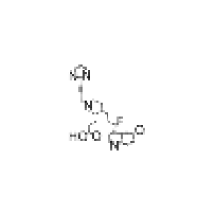 COc1ccc2nccc([C@H](F)CC[C@@H]3CCN(CC#Cc4ncccn4)C[C@H]3CCC(=O)O)c2c1